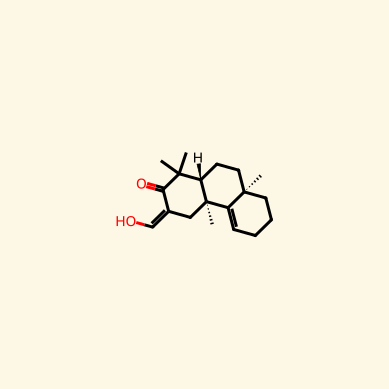 CC1(C)C(=O)/C(=C\O)C[C@]2(C)C3=CCCC[C@]3(C)CC[C@@H]12